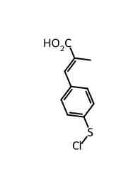 CC(=Cc1ccc(SCl)cc1)C(=O)O